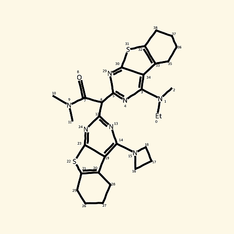 CCN(C)c1nc(C(C(=O)N(C)C)c2nc(N3CCC3)c3c4c(sc3n2)CCCC4)nc2sc3c(c12)CCCC3